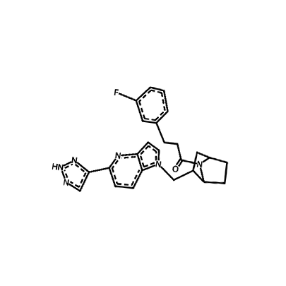 O=C(CCc1cccc(F)c1)N1C2CCC1C(Cn1ccc3nc(-c4cn[nH]n4)ccc31)C2